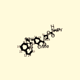 COc1cc(NS(=O)(=O)c2cccc3cccnc23)ccc1C(=O)N1CC(OC(=O)NC(C)C)C1